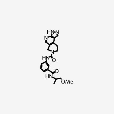 COCC(C)NC(=O)c1cccc(NC(=O)N2CCc3c(cnc4[nH]ncc34)C2)c1